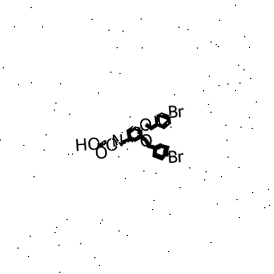 O=C(O)CON=Cc1ccc(OCc2ccc(Br)cc2)c(OCc2ccc(Br)cc2)c1